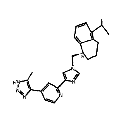 Cc1[nH]nnc1-c1ccnc(-c2cn(C[C@@H]3CCCc4c(C(C)C)cccc43)cn2)c1